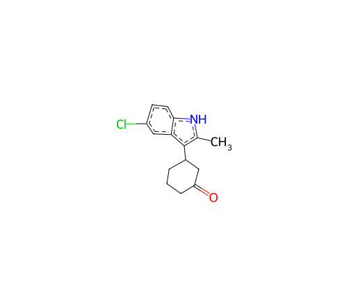 Cc1[nH]c2ccc(Cl)cc2c1C1CCCC(=O)C1